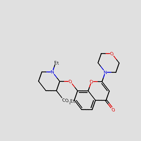 CCOC(=O)C1CCCN(CC)C1Oc1cccc2c(=O)cc(N3CCOCC3)oc12